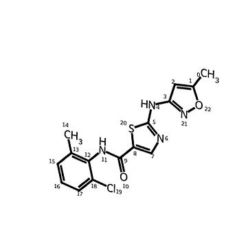 Cc1cc(Nc2ncc(C(=O)Nc3c(C)cccc3Cl)s2)no1